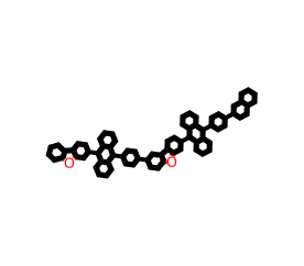 c1ccc2cc(-c3ccc(-c4c5ccccc5c(-c5ccc6c(c5)oc5ccc(-c7ccc(-c8c9ccccc9c(-c9ccc%10c(c9)oc9ccccc9%10)c9ccccc89)cc7)cc56)c5ccccc45)cc3)ccc2c1